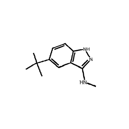 CNc1n[nH]c2ccc(C(C)(C)C)cc12